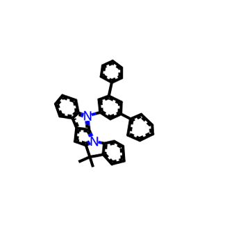 CC1(C)c2ccccc2-n2c1cc1c3ccccc3n(-c3cc(-c4ccccc4)cc(-c4ccccc4)c3)c12